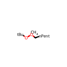 C.CCCCCCOOC(C)(C)C